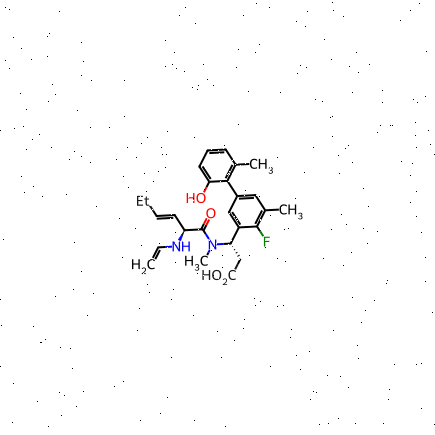 C=CN[C@@H](/C=C/CC)C(=O)N(C)[C@@H](CC(=O)O)c1cc(-c2c(C)cccc2O)cc(C)c1F